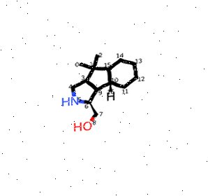 CC1(C)C2CN[C@H](CO)C2[C@H]2CCCCC21